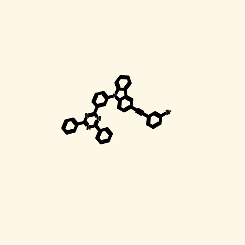 Brc1cccc(C#Cc2ccc3c(c2)c2ccccc2n3-c2cccc(-c3nc(-c4ccccc4)nc(-c4ccccc4)n3)c2)c1